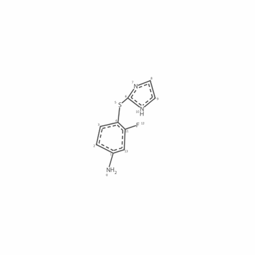 Nc1ccc(Sc2ncc[nH]2)c(F)c1